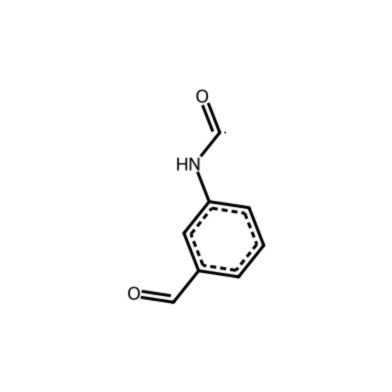 O=[C]Nc1cccc(C=O)c1